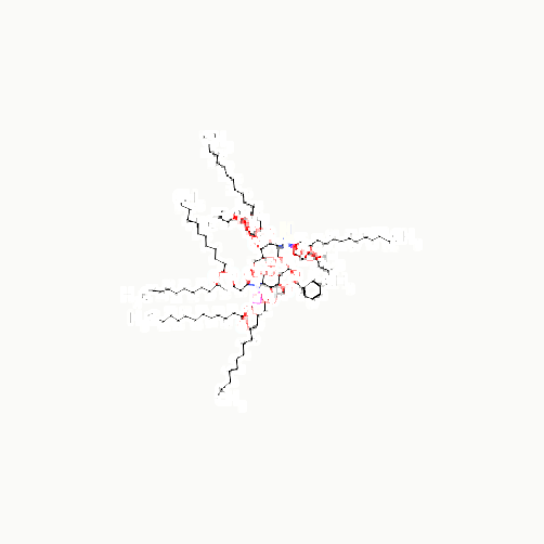 CCCCCCCCCCCC(=O)O[C@H](CCCCCCCCCCC)CC(=O)N[C@H]1C(OC(=O)C[C@@H](CCCCCCCCCCC)OC(=O)CCCCCCCCCCC)[C@@H]2OC(c3ccccc3)OCC2O[C@H]1OCC1O[C@H](OCCCC)C(NC(=O)C[C@@H](CCCCCCCCCCC)OCCCC)[C@@H](OC(=O)C[C@@H](CCCCCCCCCCC)OCCCC)[C@@H]1OCCCC